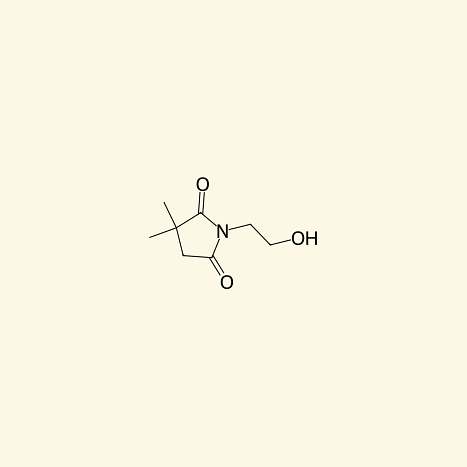 CC1(C)CC(=O)N(CCO)C1=O